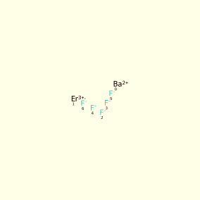 [Ba+2].[Er+3].[F-].[F-].[F-].[F-].[F-]